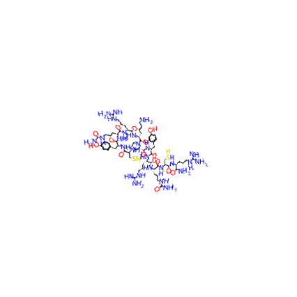 N=C(N)NCCC[C@H](NC(=O)[C@H](CS)NC(=O)[C@H](CCCNC(N)=O)NC(=O)[C@H](CCCNC(=N)N)NC(=O)[C@H](Cc1ccc(O)cc1)NC(=O)[C@@H]1CCCN1C(=O)[C@@H](CCCCN)NC(=O)[C@H](CCCNC(=N)N)NC(=O)[C@H](CCCNC(N)=O)NC(=O)[C@H](Cc1ccc(O)cc1)NC(=O)[C@@H](N)CS)C(N)=O